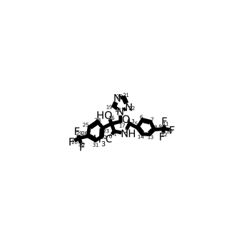 CC(NC(=O)c1ccc(C(F)(F)F)cc1)C(O)(Cn1cncn1)c1ccc(C(F)(F)F)cc1